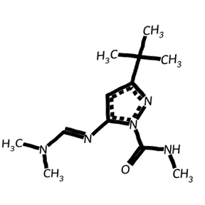 CNC(=O)n1nc(C(C)(C)C)cc1N=CN(C)C